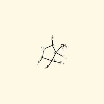 CC1(F)C(F)SC(F)C1(F)F